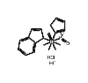 Cl.Cl.[CH2]=[Ti]([CH3])([CH3])([CH3])([CH3])([C]1=CC=CC1)([CH]1C=Cc2ccccc21)[P](=O)=O